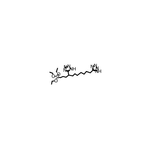 CCO[Si](CCCC(CCCCCCCc1nnn[nH]1)c1nnn[nH]1)(OCC)OCC